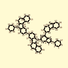 c1ccc(-c2cc3nc(-n4c5ccc(-c6ccc7c(c6)c6c8ccccc8ccc6n7-c6ccccc6)cc5c5ccc6ccccc6c54)nc(-c4ccc5sc6ccccc6c5c4)c3s2)cc1